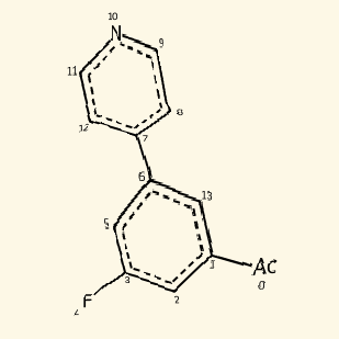 CC(=O)c1cc(F)cc(-c2ccncc2)c1